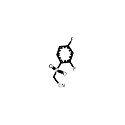 N#CCS(=O)(=O)c1ccc(F)cc1F